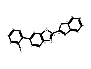 Fc1ccccc1-c1ccc2nc(-c3cc4ccccc4o3)oc2c1